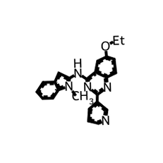 CCOc1ccc2nc(-c3cccnc3)nc(Nc3cc4ccccc4n3C)c2c1